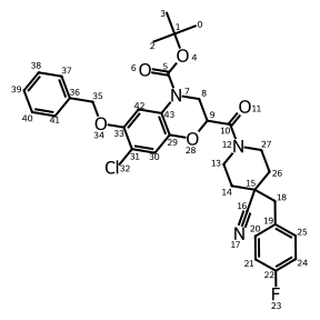 CC(C)(C)OC(=O)N1CC(C(=O)N2CCC(C#N)(Cc3ccc(F)cc3)CC2)Oc2cc(Cl)c(OCc3ccccc3)cc21